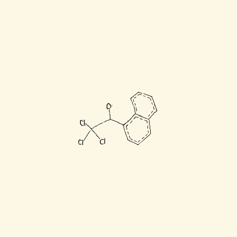 [O]C(c1cccc2ccccc12)C(Cl)(Cl)Cl